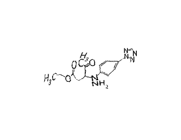 CCOC(=O)CC(C(C)=O)N(N)c1ccc(-n2ncnn2)cc1